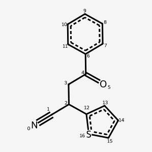 N#CC(CC(=O)c1ccccc1)c1cccs1